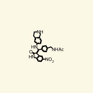 CC(=O)NCc1ccc(C(Nc2ccc3c(c2)CCNC3)=C2C(=O)Nc3ccc([N+](=O)[O-])cc32)cc1